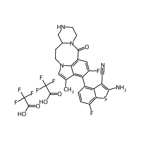 Cc1cn2c3c(cc(F)c(-c4ccc(F)c5sc(N)c(C#N)c45)c13)C(=O)N1CCNCC1CC2.O=C(O)C(F)(F)F.O=C(O)C(F)(F)F